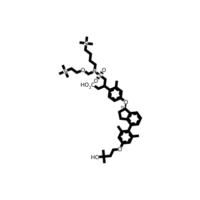 Cc1cc(O[C@@H]2CCc3c(-c4c(C)cc(OCCC(C)(C)O)cc4C)cccc32)ccc1C(CC(=O)O)CS(=O)(=O)N(CCCC[Si](C)(C)C)COCC[Si](C)(C)C